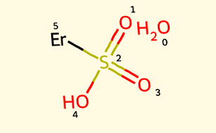 O.O=[S](=O)(O)[Er]